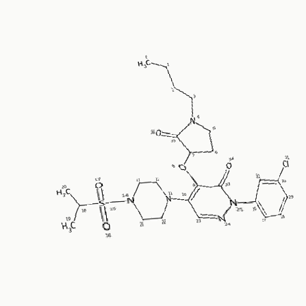 CCCCN1CCC(Oc2c(N3CCN(S(=O)(=O)C(C)C)CC3)cnn(-c3cccc(Cl)c3)c2=O)C1=O